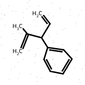 C=CC(C(=C)C)c1ccccc1